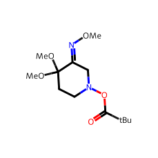 CO/N=C1\CN(OC(=O)C(C)(C)C)CCC1(OC)OC